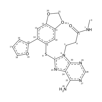 CNC(=O)CCn1c(Sc2cc3c(cc2-c2ccco2)OCO3)nc2c(N)ncnc21